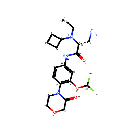 CC(C)(C)CN(C1CCC1)[C@H](CN)C(=O)Nc1ccc(N2CCOCC2=O)c(OC(F)F)c1